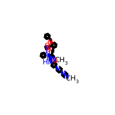 COc1cc(N2CCC(N3CCN(C)CC3)CC2)ccc1Nc1ncc(C#Cc2cccc(OCc3ccccc3)c2C2OCCO2)c(Nc2ccccc2)n1